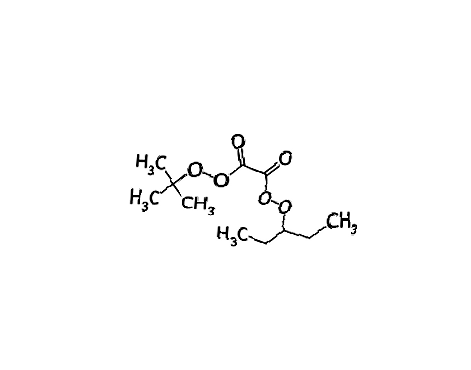 CCC(CC)OOC(=O)C(=O)OOC(C)(C)C